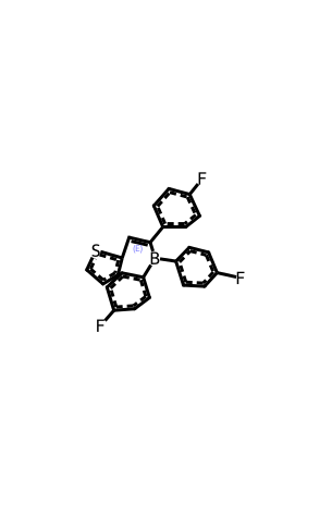 Fc1ccc(B(/C(=C\c2cccs2)c2ccc(F)cc2)c2ccc(F)cc2)cc1